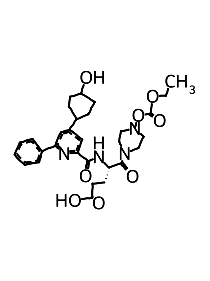 CCOC(=O)ON1CCN(C(=O)[C@H](CCC(=O)O)NC(=O)c2cc(C3CCC(O)CC3)cc(-c3ccccc3)n2)CC1